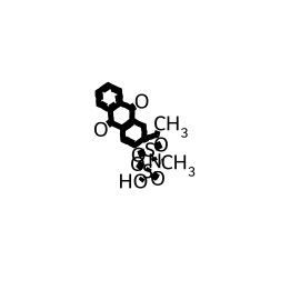 CCC1(S(=O)(=O)N(C)S(=O)(=O)O)C=CC2=C(C1)C(=O)c1ccccc1C2=O